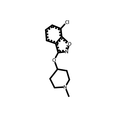 CN1CCC(Oc2noc3c(Cl)cccc23)CC1